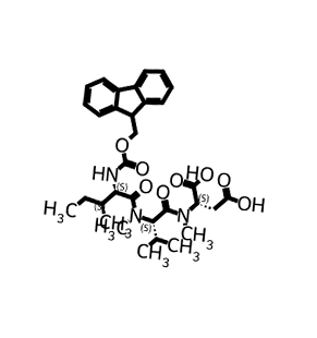 CC[C@H](C)[C@H](NC(=O)OCC1c2ccccc2-c2ccccc21)C(=O)N(C)[C@H](C(=O)N(C)[C@@H](CC(=O)O)C(=O)O)C(C)C